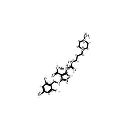 COC(=O)c1c(OCc2c(F)cc(Br)cc2F)nsc1NC(=O)NCCCN1CCN(C)CC1